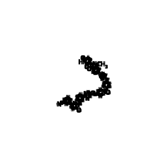 Cc1nn(C2CCC(=O)NC2=O)c(=O)c2ccc(N3CCN(CC4CCN(C(=O)N5CCC(COc6cnc(-c7cccc(Cn8nc(-c9cccc(C#N)c9)ccc8=O)c7)nc6)CC5)CC4)CC3)cc12